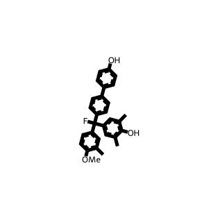 COc1ccc(C(F)(c2ccc(-c3ccc(O)cc3)cc2)c2cc(C)c(O)c(C)c2)cc1C